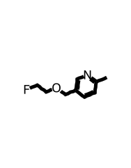 Cc1ccc(COCCF)cn1